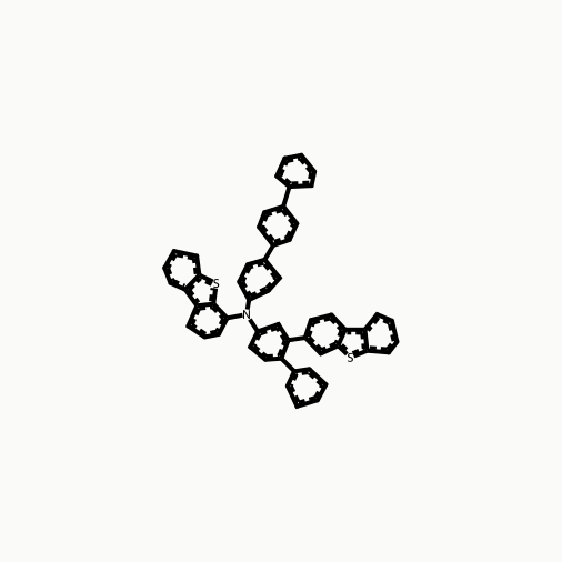 c1ccc(-c2ccc(-c3ccc(N(c4ccc(-c5ccccc5)c(-c5ccc6c(c5)sc5ccccc56)c4)c4cccc5c4sc4ccccc45)cc3)cc2)cc1